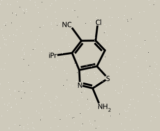 CC(C)c1c(C#N)c(Cl)cc2sc(N)nc12